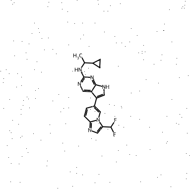 CC(Nc1ncc2c(-c3ccc4ncc(C(F)F)n4c3)c[nH]c2n1)C1CC1